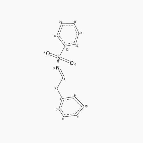 O=S(=O)(N=CCc1ccccc1)c1ccccc1